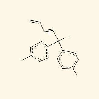 O=C/C=C/C(O)(c1ccc(F)cc1)c1ccc(F)cc1